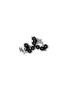 CC1(C)c2ccccc2-c2ccc(N(c3ccc(-c4ccc5oc6ccccc6c5c4)cc3)c3ccc(-c4cccc5c4-c4oc6ccccc6c4C5(C)C)cc3)cc21